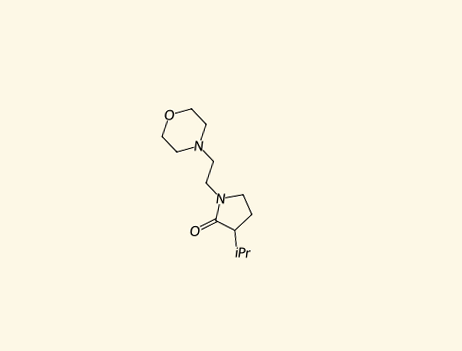 CC(C)C1CCN(CCN2CCOCC2)C1=O